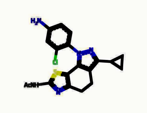 CC(=O)Nc1nc2c(s1)-c1c(c(C3CC3)nn1-c1ccc(N)cc1Cl)CC2